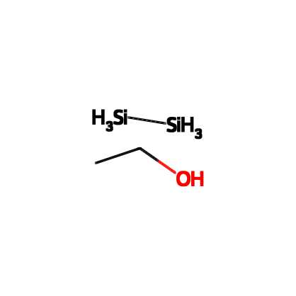 CCO.[SiH3][SiH3]